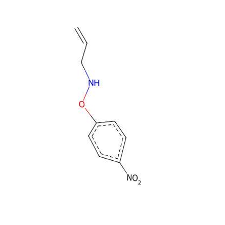 C=CCNOc1ccc([N+](=O)[O-])cc1